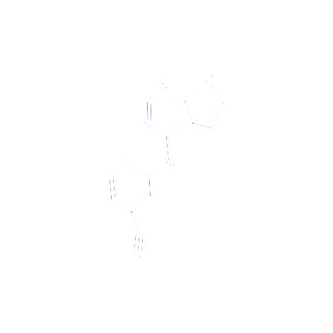 N#Cc1cccc(Nc2ncnc3[nH]ccc23)c1